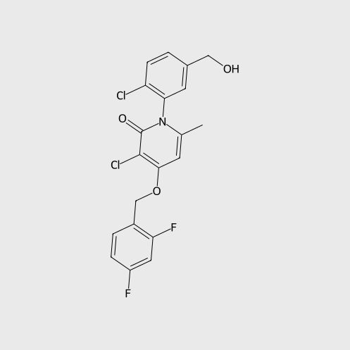 Cc1cc(OCc2ccc(F)cc2F)c(Cl)c(=O)n1-c1cc(CO)ccc1Cl